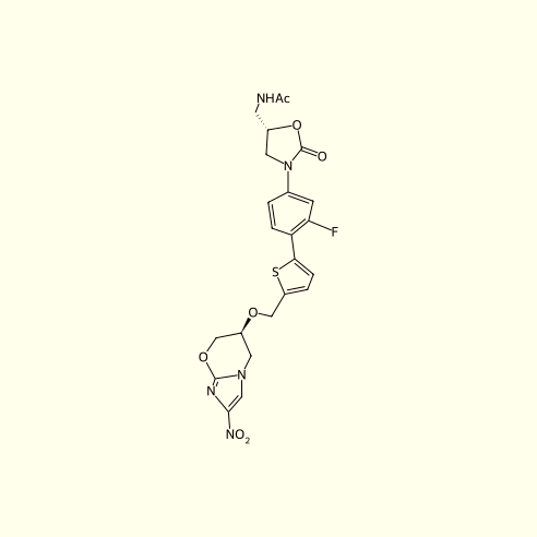 CC(=O)NC[C@H]1CN(c2ccc(-c3ccc(CO[C@@H]4COc5nc([N+](=O)[O-])cn5C4)s3)c(F)c2)C(=O)O1